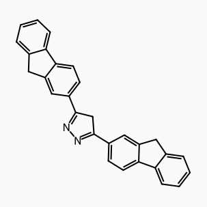 c1ccc2c(c1)Cc1cc(C3=NN=C(c4ccc5c(c4)Cc4ccccc4-5)C3)ccc1-2